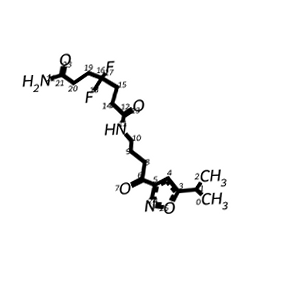 CC(C)c1cc(C(=O)CCCNC(=O)[CH]CC(F)(F)CCC(N)=O)no1